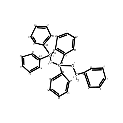 C[Si](O[Si](O[SiH2]c1ccccc1)(c1ccccc1)c1ccccc1)(c1ccccc1)c1ccccc1